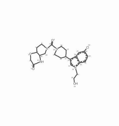 O=C1COC2CCN(C(=O)N3CCC(c4cn(CCO)c5ccc(Cl)cc45)CC3)CC2N1